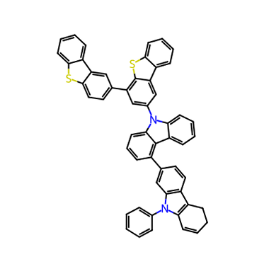 C1=Cc2c(c3ccc(-c4cccc5c4c4ccccc4n5-c4cc(-c5ccc6sc7ccccc7c6c5)c5sc6ccccc6c5c4)cc3n2-c2ccccc2)CC1